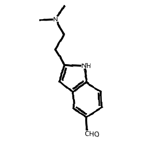 CN(C)CCc1cc2cc(C=O)ccc2[nH]1